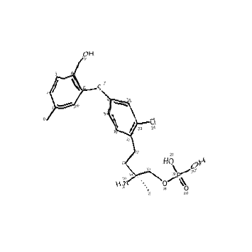 Cc1ccc(O)c(Sc2ccc(CC[C@](C)(N)COP(=O)(O)O)c(Cl)c2)c1